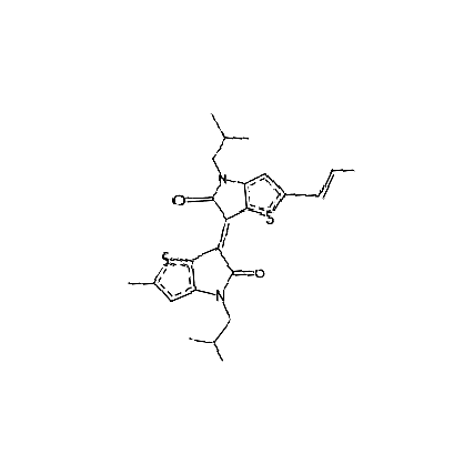 C/C=C/c1cc2c(s1)/C(=C1\C(=O)N(CC(C)C)c3cc(C)sc31)C(=O)N2CC(C)C